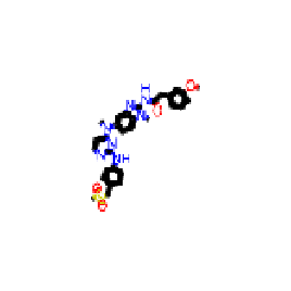 COc1cccc(CC(=O)Nc2nc3cc(N(C)c4ccnc(Nc5ccc(CS(C)(=O)=O)cc5)n4)ccc3n2C)c1